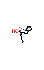 CCCC/C=C(/C(=O)O)c1ccc2ccccc2n1